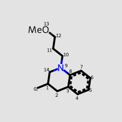 [CH2]C1Cc2ccccc2N(CCCOC)C1